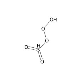 O=[SH](=O)OOO